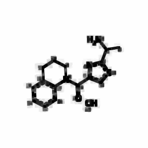 CC(N)c1nc(C(=O)N2CCCc3ccccc32)cs1.Cl